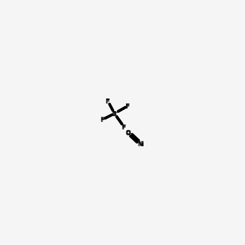 F[B-](F)(F)F.[O]=[Ni]